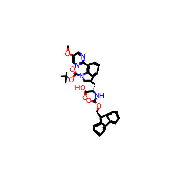 COc1cnc(-c2cccc3c(C[C@H](NC(=O)OCC4c5ccccc5-c5ccccc54)C(=O)O)cn(C(=O)OC(C)(C)C)c23)nc1